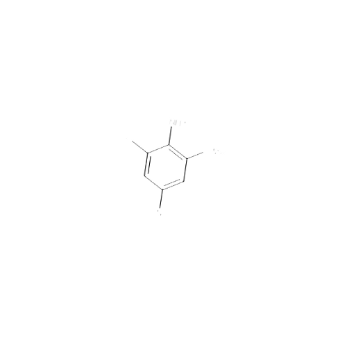 COc1cc([N+](=O)[O-])cc(Br)c1NC(C)=O